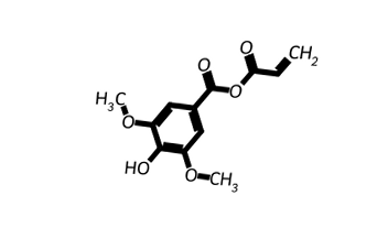 C=CC(=O)OC(=O)c1cc(OC)c(O)c(OC)c1